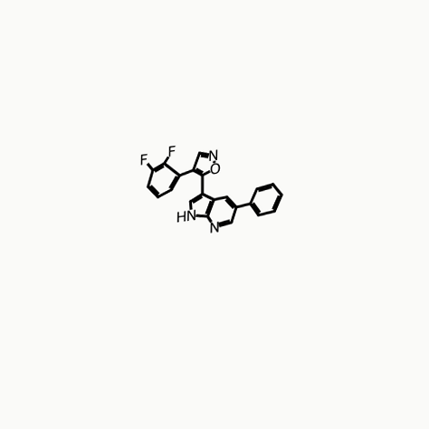 Fc1cccc(-c2cnoc2-c2c[nH]c3ncc(-c4ccccc4)cc23)c1F